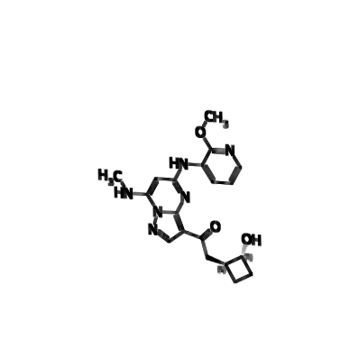 CNc1cc(Nc2cccnc2OC)nc2c(C(=O)C[C@@H]3CC[C@H]3O)cnn12